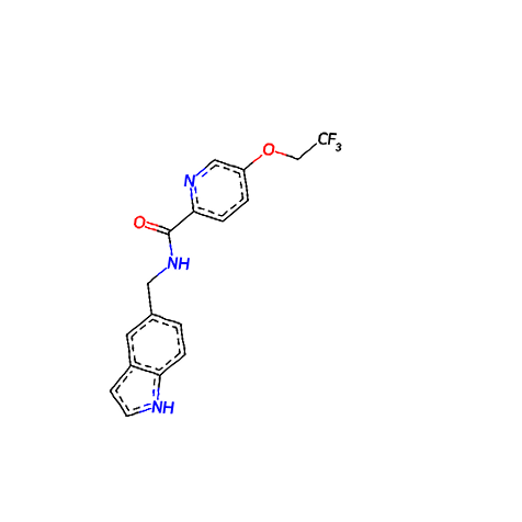 O=C(NCc1ccc2[nH]ccc2c1)c1ccc(OCC(F)(F)F)cn1